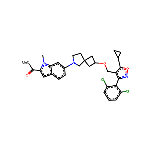 COC(=O)c1cc2ccc(N3CCC4(CC(OCc5c(-c6c(Cl)cccc6Cl)noc5C5CC5)C4)C3)cc2n1C